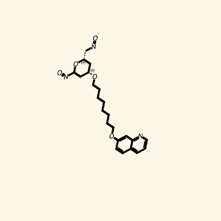 O=NC[C@@H]1C[C@H](OCCCCCCCCOc2ccc3cccnc3c2)CC(N=O)O1